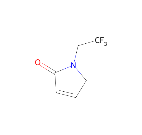 O=C1C=CCN1CC(F)(F)F